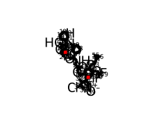 O=C(CNC(=O)c1cccc(NC(C(=O)O)(c2ccccc2)[C@H]2CN3CCC2CC3)c1)O[C@@H](Cc1c(Cl)c[n+]([O-])cc1Cl)c1ccc(OC(F)F)c(OCC2CC2)c1